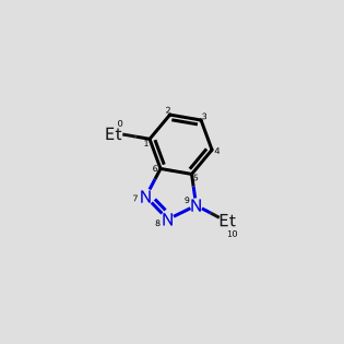 CCc1cccc2c1nnn2CC